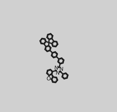 c1ccc(-c2nc(-c3cccc(-c4ccc(-c5ccc6c(c5)C5(c7ccccc7-c7ccccc75)c5ccccc5-6)cc4)c3)nc(-c3cccc4oc5ccccc5c34)n2)cc1